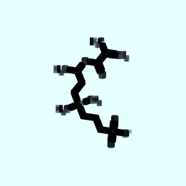 C=C(C)C(=O)OC(C)CC[N+](C)(C)CCCS(=O)(=O)[O-]